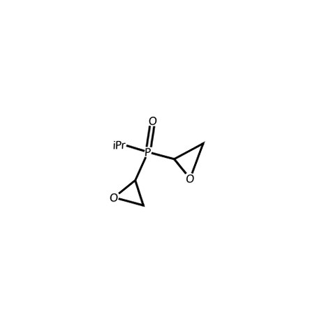 CC(C)P(=O)(C1CO1)C1CO1